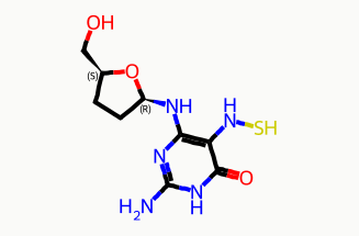 Nc1nc(N[C@H]2CC[C@@H](CO)O2)c(NS)c(=O)[nH]1